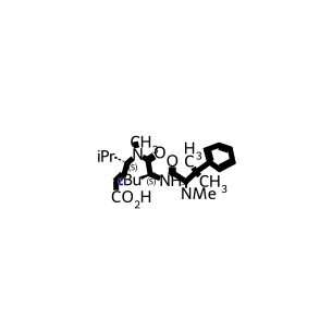 CN[C@H](C(=O)N[C@H](C(=O)N(C)[C@H](/C=C/C(=O)O)C(C)C)C(C)(C)C)C(C)(C)c1ccccc1